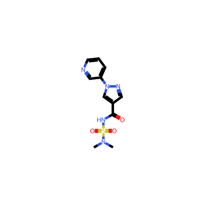 CN(C)S(=O)(=O)NC(=O)c1cnn(-c2cccnc2)c1